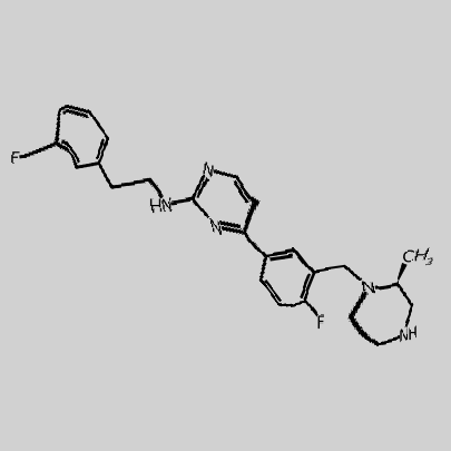 C[C@H]1CNCCN1Cc1cc(-c2ccnc(NCCc3cccc(F)c3)n2)ccc1F